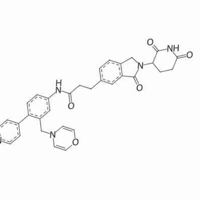 O=C1CCC(N2Cc3ccc(CCC(=O)Nc4ccc(-c5ccncc5)c(CN5C=COC=C5)c4)cc3C2=O)C(=O)N1